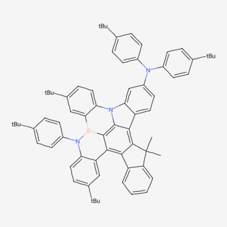 CC(C)(C)c1ccc(N2B3c4cc(C(C)(C)C)ccc4-n4c5cc(N(c6ccc(C(C)(C)C)cc6)c6ccc(C(C)(C)C)cc6)ccc5c5c6c(c(c3c54)-c3cc(C(C)(C)C)ccc32)-c2ccccc2C6(C)C)cc1